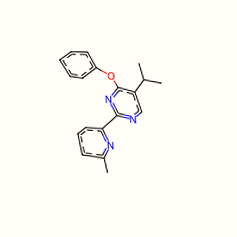 Cc1cccc(-c2ncc(C(C)C)c(Oc3ccccc3)n2)n1